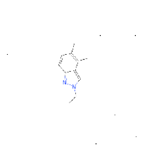 CCn1cc2c(C)c(C)ccc2n1